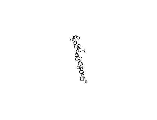 O=C(Oc1ccc(C(=O)Oc2ccc(CC(O)C(=O)Oc3ccc(N4C(=O)C=CC4=O)cc3)cc2)cc1)c1ccc(OCC(F)(F)F)cc1